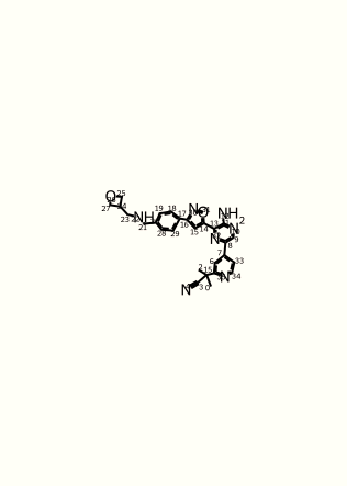 CC(C)(C#N)c1cc(-c2cnc(N)c(-c3cc(-c4ccc(CNCC5COC5)cc4)no3)n2)ccn1